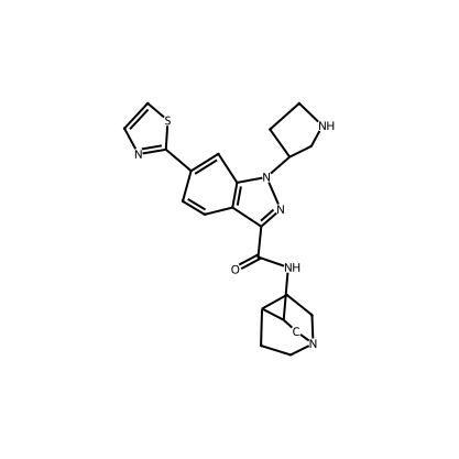 O=C(NC1CN2CCC1CC2)c1nn(C2CCNC2)c2cc(-c3nccs3)ccc12